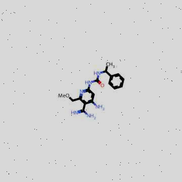 COCc1nc(NC(=O)NC(C)c2ccccc2)cc(N)c1C(=N)N